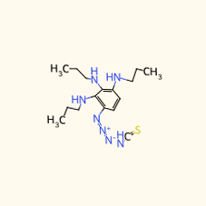 CCCNc1ccc(N=[N+]=[N-])c(NCCC)c1NCCC.N=C=S